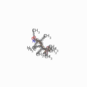 CCCCCCCCOC(=O)/C(C#N)=C/c1cc(CCCCCCCC)c(-c2cc(CCCCCCCC)c(-c3ccc(-c4sc(-c5sc(-c6cc7c(OC(CC)CCCC)c8sc(C)cc8c(OCC(CC)CCCC)c7s6)cc5CCCCCCCC)cc4CCCCCCCC)s3)s2)s1